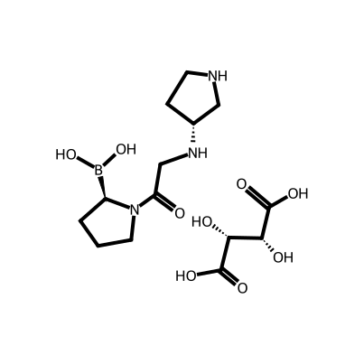 O=C(CN[C@@H]1CCNC1)N1CCC[C@H]1B(O)O.O=C(O)[C@H](O)[C@@H](O)C(=O)O